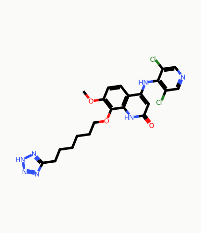 COc1ccc2c(Nc3c(Cl)cncc3Cl)cc(=O)[nH]c2c1OCCCCCCc1nn[nH]n1